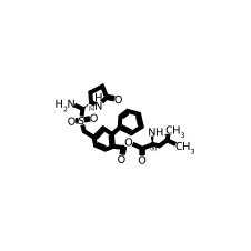 CC(C)C[C@H](N)C(=O)OC(=O)c1ccc(CS(=O)(=O)C(N)[C@@H]2CCC(=O)N2)cc1-c1ccccc1